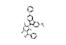 COc1ccc2c(c1)c1cc(-c3ccccc3)ccc1n2-c1c(C)cc(C)c(C(=O)c2ccccc2)c1C